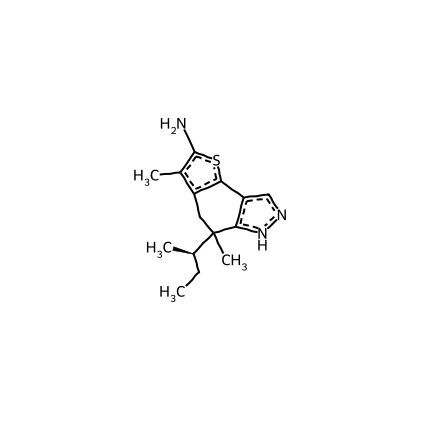 CC[C@@H](C)C1(C)Cc2c(sc(N)c2C)-c2cn[nH]c21